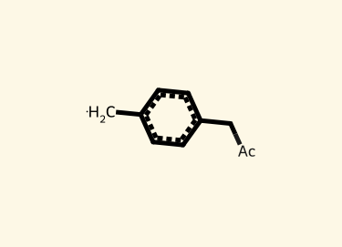 [CH2]c1ccc(CC(C)=O)cc1